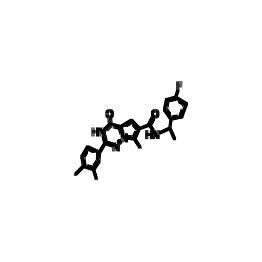 Cc1ccc(-c2nn3c(C)c(C(=O)NC(C)c4ccc(F)cc4)cc3c(=O)[nH]2)cc1C